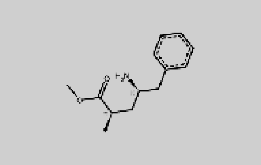 COC(=O)[C@H](C)C[C@@H](N)Cc1ccccc1